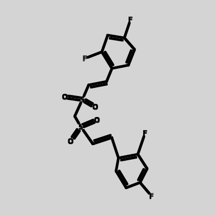 O=S(=O)(C=Cc1ccc(F)cc1F)CS(=O)(=O)C=Cc1ccc(F)cc1F